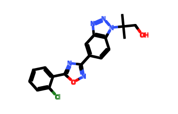 CC(C)(CO)n1nnc2cc(-c3noc(-c4ccccc4Cl)n3)ccc21